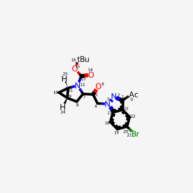 CC(=O)c1nn(CC(=O)C2C[C@@H]3C[C@H]3N2C(=O)OC(C)(C)C)c2ccc(Br)cc12